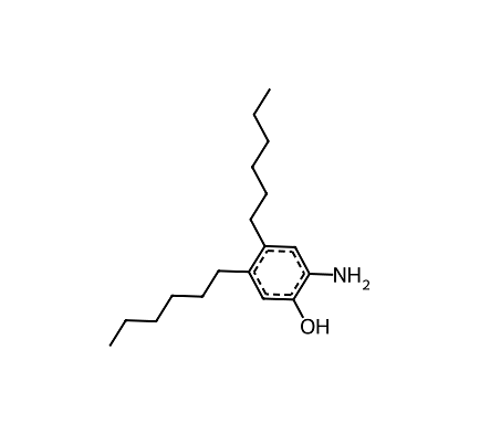 CCCCCCc1cc(N)c(O)cc1CCCCCC